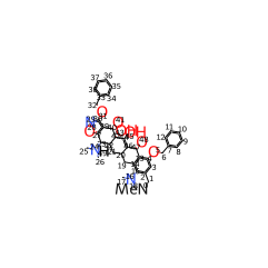 CNCc1cc(OCc2ccccc2)c2c(c1N(C)C)CC1C[C@H]3[C@H](N(C)C)c4onc(OCc5ccccc5)c4C(=O)[C@@]3(O)C(O)=C1C2=O